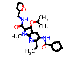 CCc1nc2c(cc1NC(=O)c1ccccc1)c(OC(C)C)c(C(=O)NCC1CCCO1)n2C